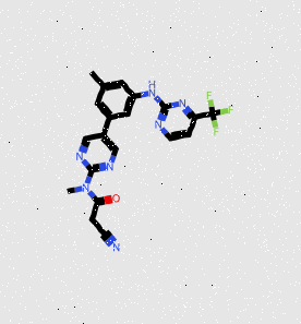 Cc1cc(Nc2nccc(C(F)(F)F)n2)cc(-c2cnc(N(C)C(=O)CC#N)nc2)c1